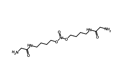 NCC(=O)NCCCCO[N+](=O)OCCCCNC(=O)CN